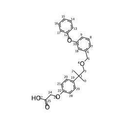 CC(C)(COCc1cccc(Oc2ccccc2)c1)c1ccc(OCC(=O)O)cc1